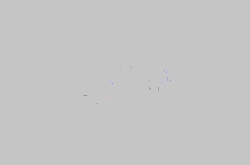 CC[C@@H]1CN(Cc2cc(C(c3ccc4c(nnn4C)c3C)C(C)(C)C(=O)O)ccc2C)Cc2c(ccc3ccccc23)O1